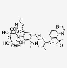 COc1cc(N2C(O)(O)C(O)(O)OC(O)(O)C2(O)O)c(-c2cnn(C)c2)cc1Nc1ncc(C)c(Nc2ccc3nccnc3c2P(C)(C)=O)n1